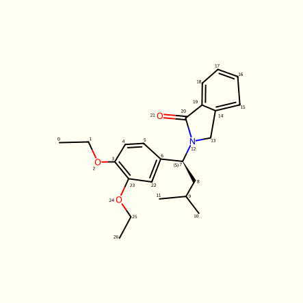 CCOc1ccc([C@H](CC(C)C)N2Cc3ccccc3C2=O)cc1OCC